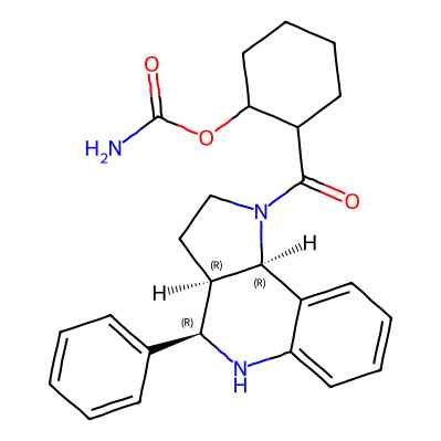 NC(=O)OC1CCCCC1C(=O)N1CC[C@@H]2[C@H](c3ccccc3)Nc3ccccc3[C@@H]21